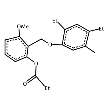 CCC(=O)Oc1cccc(OC)c1COc1cc(C)c(CC)cc1CC